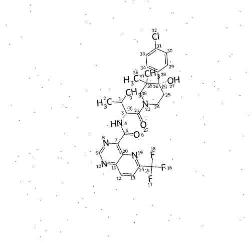 CC(C)[C@@H](NC(=O)c1ncnc2ccc(C(F)(F)F)nc12)C(=O)N1CC[C@](O)(c2ccc(Cl)cc2)C(C)(C)C1